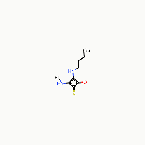 CCNc1c(NCCCC(C)(C)C)c(=O)c1=S